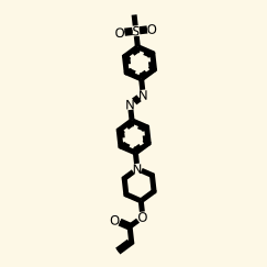 C=CC(=O)OC1CCN(c2ccc(N=Nc3ccc(S(C)(=O)=O)cc3)cc2)CC1